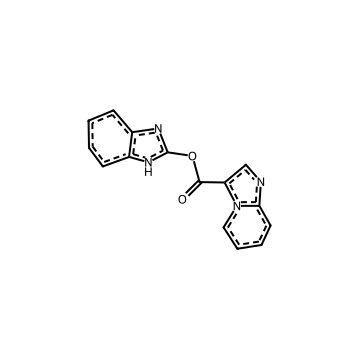 O=C(Oc1nc2ccccc2[nH]1)c1cnc2ccccn12